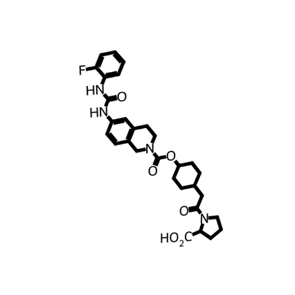 O=C(Nc1ccc2c(c1)CCN(C(=O)OC1CCC(CC(=O)N3CCCC3C(=O)O)CC1)C2)Nc1ccccc1F